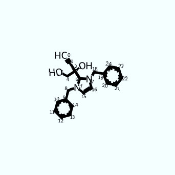 C#C[C@@](O)(CO)C1N(Cc2ccccc2)C=CN1Cc1ccccc1